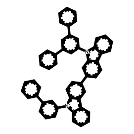 c1ccc(-c2cccc(-n3c4ccccc4c4cc(-c5ccc6c7ccccc7n(-c7cc(-c8ccccc8)cc(-c8ccccc8)c7)c6c5)ccc43)c2)cc1